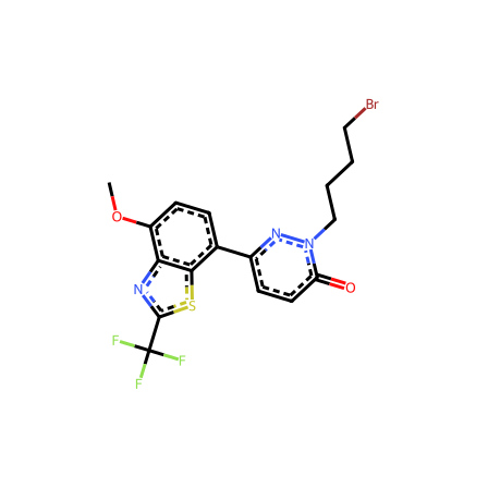 COc1ccc(-c2ccc(=O)n(CCCCBr)n2)c2sc(C(F)(F)F)nc12